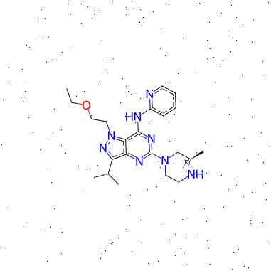 CCOCCn1nc(C(C)C)c2nc(N3CCN[C@H](C)C3)nc(Nc3ccccn3)c21